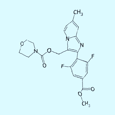 COC(=O)c1cc(F)c(-c2nc3cc(C)ccn3c2COC(=O)N2CCOCC2)c(F)c1